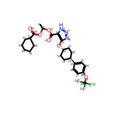 CC(OC(=O)c1[nH]nnc1O[C@H]1CC[C@H](c2ccc(OC(F)(F)F)cc2)CC1)OC(=O)C1CCCCC1